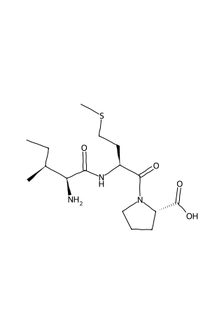 CC[C@H](C)[C@H](N)C(=O)N[C@@H](CCSC)C(=O)N1CCC[C@H]1C(=O)O